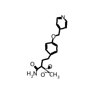 CS(=O)(=O)C(CCc1ccc(OCc2ccncc2)cc1)C(N)=O